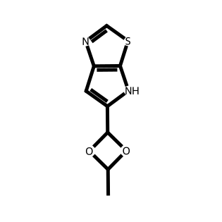 CC1OC(c2cc3ncsc3[nH]2)O1